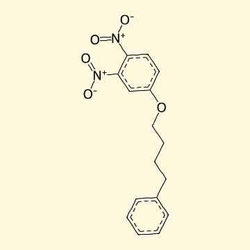 O=[N+]([O-])c1ccc(OCCCCc2ccccc2)cc1[N+](=O)[O-]